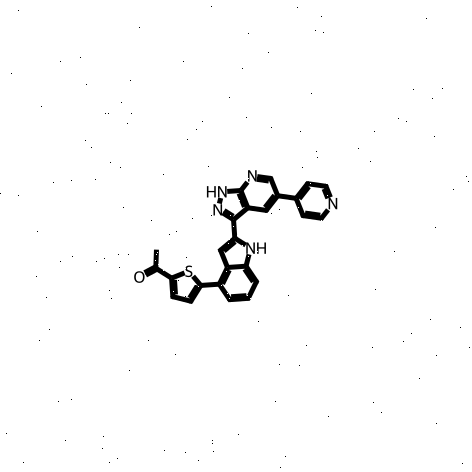 CC(=O)c1ccc(-c2cccc3[nH]c(-c4n[nH]c5ncc(-c6ccncc6)cc45)cc23)s1